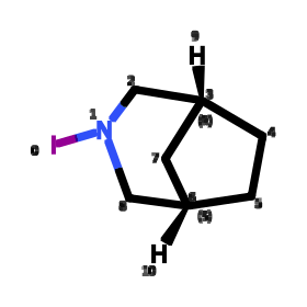 IN1C[C@@H]2CC[C@@H](C2)C1